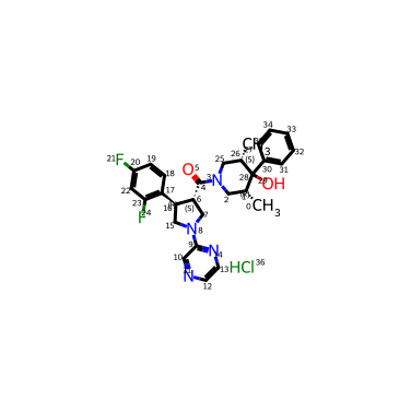 C[C@@H]1CN(C(=O)[C@@H]2CN(c3cnccn3)C[C@H]2c2ccc(F)cc2F)C[C@H](C)C1(O)c1ccccc1.Cl